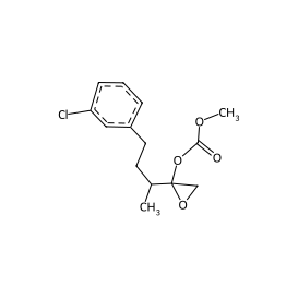 COC(=O)OC1(C(C)CCc2cccc(Cl)c2)CO1